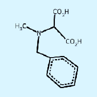 CN(Cc1ccccc1)C(C(=O)O)C(=O)O